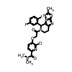 Cc1nn2c3c(nc2s1)CCN(C(=O)COc1ccc(C(=O)N(C)C)nc1Cl)C3c1cc(F)ccc1F